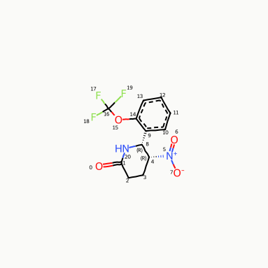 O=C1CC[C@@H]([N+](=O)[O-])[C@@H](c2ccccc2OC(F)(F)F)N1